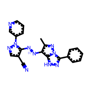 Cc1nn2c(-c3ccccc3)n[nH]c2c1/N=N/c1c(C#N)cnn1-c1cccnc1